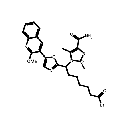 CCC(=O)CCCCCC(c1ncc(-c2cc3ccccc3nc2OC)o1)N1C(C)=C(C(N)=O)S[C@H]1C